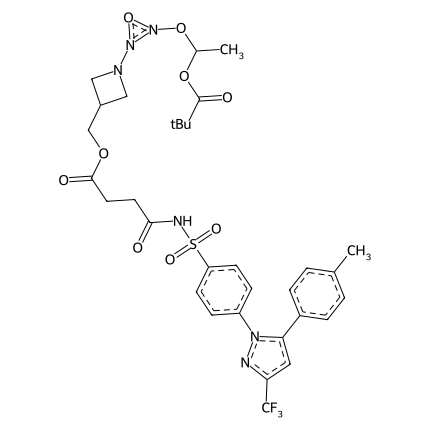 Cc1ccc(-c2cc(C(F)(F)F)nn2-c2ccc(S(=O)(=O)NC(=O)CCC(=O)OCC3CN(n4on4OC(C)OC(=O)C(C)(C)C)C3)cc2)cc1